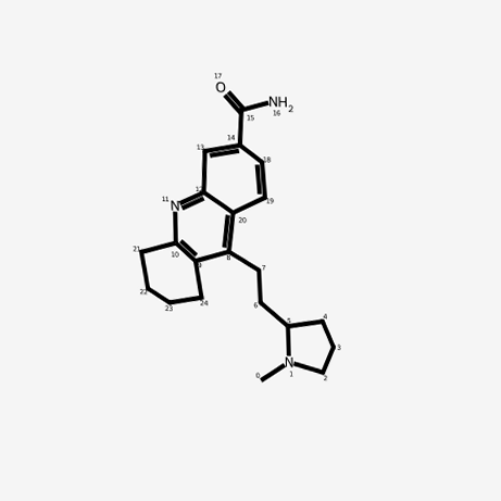 CN1CCCC1CCc1c2c(nc3cc(C(N)=O)ccc13)CCCC2